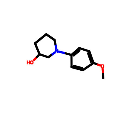 COc1ccc(N2CCCC(O)C2)cc1